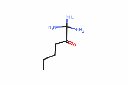 CCCCC(=O)C(N)(N)N